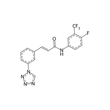 O=C(/C=C/c1cccc(-n2cnnn2)c1)Nc1ccc(F)c(C(F)(F)F)c1